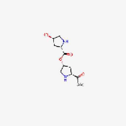 CC(=O)OC(=O)[C@@H]1C[C@@H](OC(=O)[C@@H]2C[C@@H](O)CN2)CN1